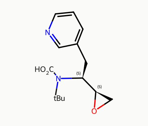 CC(C)(C)N(C(=O)O)[C@@H](Cc1cccnc1)[C@H]1CO1